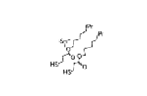 CC(C)CCCCCOC(=O)CCS.CC(C)CCCCCOC(=O)CCS.[CH3][Sn][CH3]